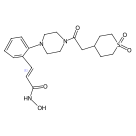 O=C(/C=C/c1ccccc1N1CCN(C(=O)CC2CCS(=O)(=O)CC2)CC1)NO